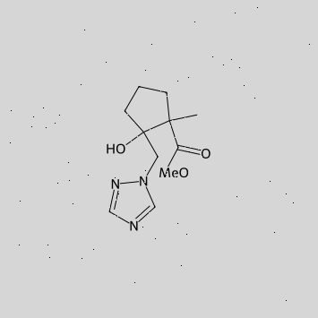 COC(=O)C1(C)CCCC1(O)Cn1cncn1